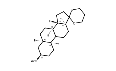 CC(=O)O[C@@H]1CC[C@]2(C)C3CC[C@@]4(C)[C@@H](CCC45OCCCO5)[C@@H]3CC[C@@H]2C1